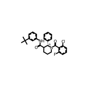 CC(C)(C)c1cccc(NC(=O)C2CCCN(C(=O)c3c(F)cccc3Cl)[C@H]2c2ccccc2)c1